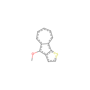 COc1c2cccccc-2c2sccc12